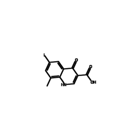 Cc1cc(I)cc2c(=O)c(C(=O)O)c[nH]c12